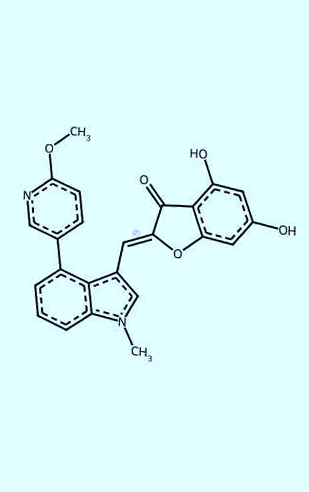 COc1ccc(-c2cccc3c2c(/C=C2\Oc4cc(O)cc(O)c4C2=O)cn3C)cn1